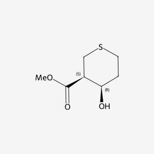 COC(=O)[C@H]1CSCC[C@H]1O